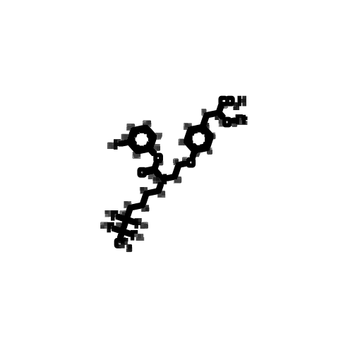 CCOC(Cc1ccc(OCCN(CCCCC(F)(F)C(F)(F)C(F)(F)F)C(=O)Oc2cccc(F)c2)cc1)C(=O)O